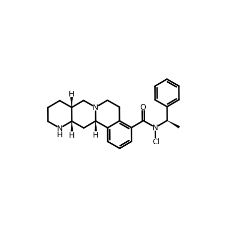 C[C@H](c1ccccc1)N(Cl)C(=O)c1cccc2c1CCN1C[C@H]3CCCN[C@H]3C[C@@H]21